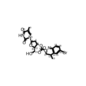 Cc1cn([C@H]2C[C@H](OC(=O)OCC(C)c3cc(Br)ccc3[N+](=O)[O-])[C@@H](CO)O2)c(=O)[nH]c1=O